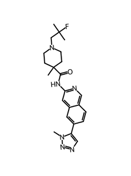 Cn1nncc1-c1ccc2cnc(NC(=O)C3(C)CCN(CC(C)(C)F)CC3)cc2c1